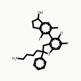 Cc1cc2c(c(F)c1-c1c(Cl)c(F)cc3c1CC(CCCCN)(c1ccccc1)O3)CCC2O